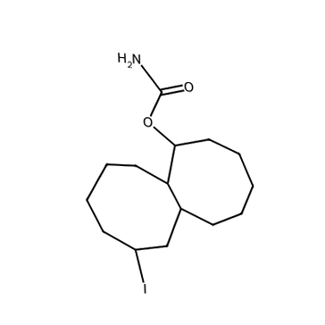 NC(=O)OC1CCCCCC2CC(I)CCCCC21